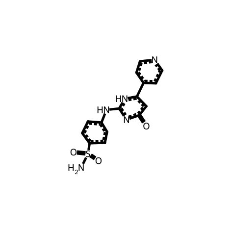 NS(=O)(=O)c1ccc(Nc2nc(=O)cc(-c3ccncc3)[nH]2)cc1